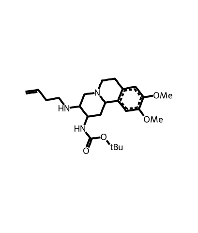 C=CCCNC1CN2CCc3cc(OC)c(OC)cc3C2CC1NC(=O)OC(C)(C)C